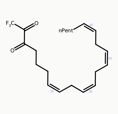 CCCCC/C=C\C/C=C\C/C=C\C/C=C\CCCC(=O)C(=O)C(F)(F)F